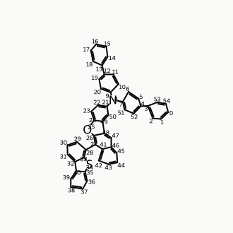 c1ccc(-c2ccc(N(c3ccc(-c4ccccc4)cc3)c3ccc4oc5c(-c6cccc7c6sc6ccccc67)c6ccccc6cc5c4c3)cc2)cc1